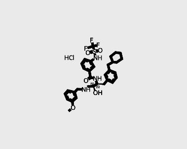 COc1cccc(CNC[C@H](O)[C@H](Cc2cccc(CC3CCCCC3)c2)NC(=O)c2cccc(NS(=O)(=O)C(F)(F)F)c2)c1.Cl